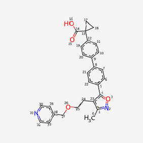 Cc1noc(-c2ccc(-c3ccc(C4(C(=O)O)CC4)cc3)cc2)c1CCOCc1ccncc1